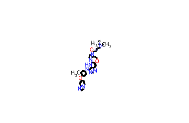 Cc1cc(Nc2ncnc3cc4c(nc23)N2CCN(C(=O)/C=C/CN(C)C)C(CO4)C2)ccc1Oc1ccn2ccnc2c1